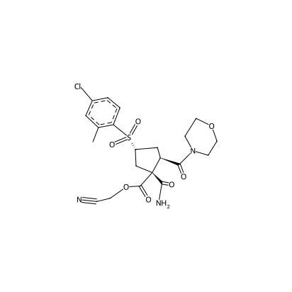 Cc1cc(Cl)ccc1S(=O)(=O)[C@@H]1C[C@@H](C(=O)N2CCOCC2)[C@](C(N)=O)(C(=O)OCC#N)C1